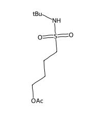 CC(=O)OCCCCS(=O)(=O)NC(C)(C)C